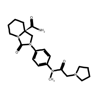 CN(C(=O)CN1CCCC1)c1ccc(N2C[C@@]3(C(N)=O)[CH]CCCN3C2=O)cc1